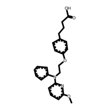 COc1cccc(N(CCOc2ccc(CCCC(=O)O)cc2)c2ccccc2)n1